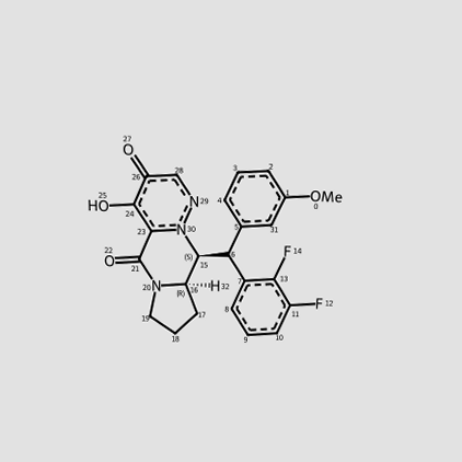 COc1cccc(C(c2cccc(F)c2F)[C@H]2[C@H]3CCCN3C(=O)c3c(O)c(=O)cnn32)c1